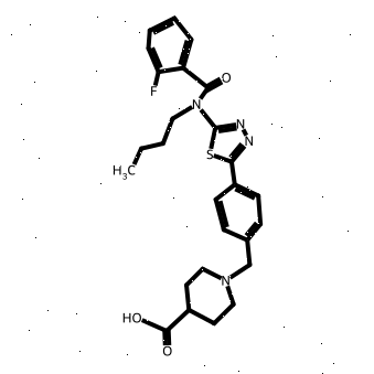 CCCCN(C(=O)c1ccccc1F)c1nnc(-c2ccc(CN3CCC(C(=O)O)CC3)cc2)s1